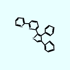 c1ccc(-c2csc(-c3cccc(-c4ccccn4)n3)c2-c2ccccc2)cc1